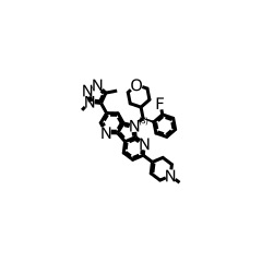 Cc1nnn(C)c1-c1cnc2c3ccc(C4=CCN(C)CC4)nc3n([C@H](c3ccccc3F)C3CCOCC3)c2c1